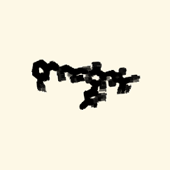 CCCC(CCC)S(=O)(=O)C[C@@H](NC(=O)c1cc(C)n[nH]1)C(=O)NC[C@H](O)CNCc1cccc(CC)c1